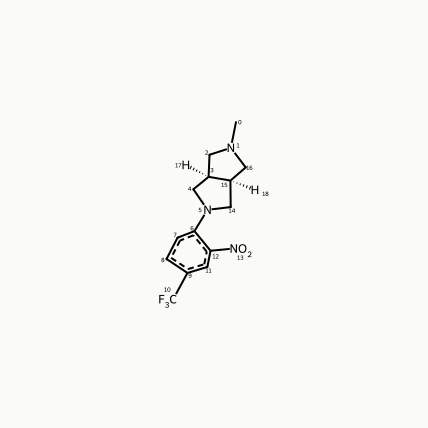 CN1C[C@@H]2CN(c3ccc(C(F)(F)F)cc3[N+](=O)[O-])C[C@@H]2C1